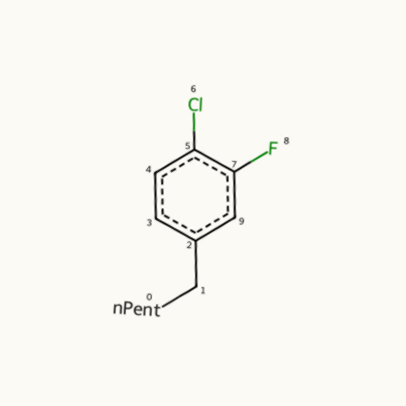 CCCCCCc1ccc(Cl)c(F)c1